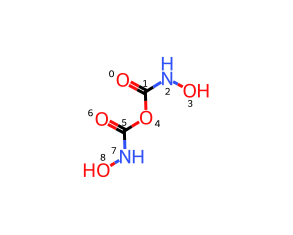 O=C(NO)OC(=O)NO